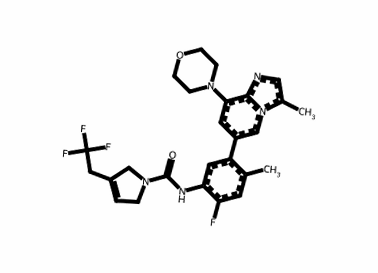 Cc1cc(F)c(NC(=O)N2CC=C(CC(F)(F)F)C2)cc1-c1cc(N2CCOCC2)c2ncc(C)n2c1